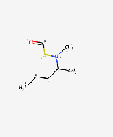 CCCC(C)N(C)S[C]=O